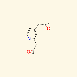 c1cc(CC2CO2)cc(CC2CO2)n1